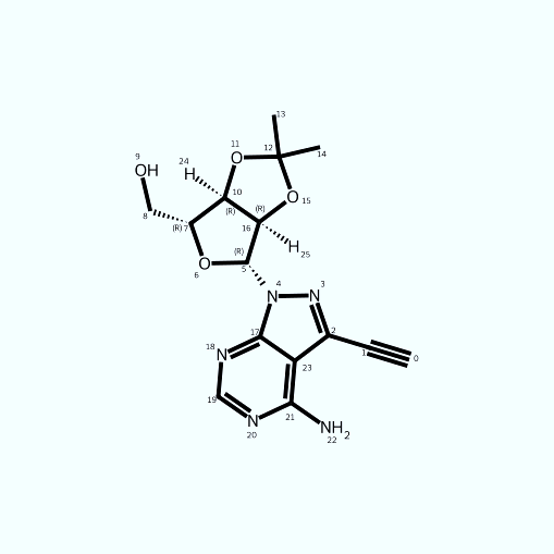 C#Cc1nn([C@@H]2O[C@H](CO)[C@H]3OC(C)(C)O[C@H]32)c2ncnc(N)c12